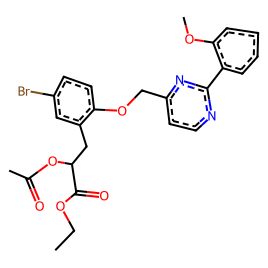 CCOC(=O)C(Cc1cc(Br)ccc1OCc1ccnc(-c2ccccc2OC)n1)OC(C)=O